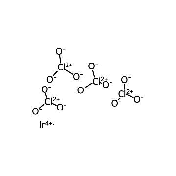 [Ir+4].[O-][Cl+2]([O-])[O-].[O-][Cl+2]([O-])[O-].[O-][Cl+2]([O-])[O-].[O-][Cl+2]([O-])[O-]